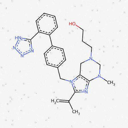 C=C(C)c1nc2c(n1Cc1ccc(-c3ccccc3-c3nnn[nH]3)cc1)CN(CCCO)CN2C